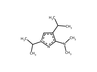 CC(C)c1cn(C(C)C)nc1N(C)C